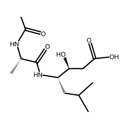 CC(=O)N[C@@H](C)C(=O)N[C@@H](CC(C)C)[C@@H](O)CC(=O)O